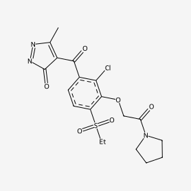 CCS(=O)(=O)c1ccc(C(=O)C2=C(C)N=NC2=O)c(Cl)c1OCC(=O)N1CCCC1